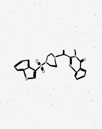 CC(c1nc2ccccc2c(=O)n1C)N1CCN(S(=O)(=O)c2csc3ccccc23)CC1